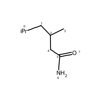 CC(C)CC(C)CC(N)=O